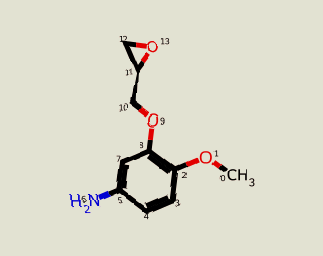 COc1ccc(N)cc1OC[C@H]1CO1